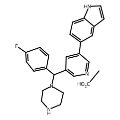 CC(=O)O.Fc1ccc(C(c2cncc(-c3ccc4[nH]ccc4c3)c2)N2CCNCC2)cc1